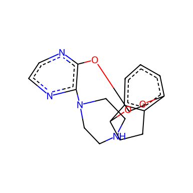 c1cc2c3c(c1)C(CC3)OC(Oc1nccnc1N1CCNCC1)CO2